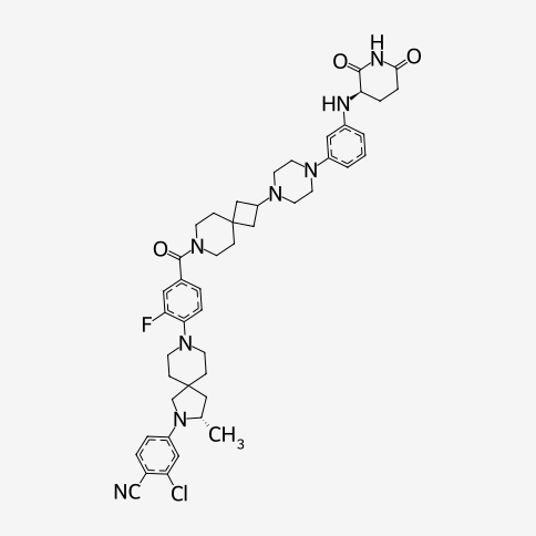 C[C@H]1CC2(CCN(c3ccc(C(=O)N4CCC5(CC4)CC(N4CCN(c6cccc(N[C@@H]7CCC(=O)NC7=O)c6)CC4)C5)cc3F)CC2)CN1c1ccc(C#N)c(Cl)c1